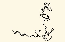 CCCCCCCCNC[C@H]1CCC(=O)N1CCSc1nc(OC(=O)O)cs1